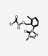 CCC(=O)NOCc1c(C)cccc1-n1nnn(C)c1=O